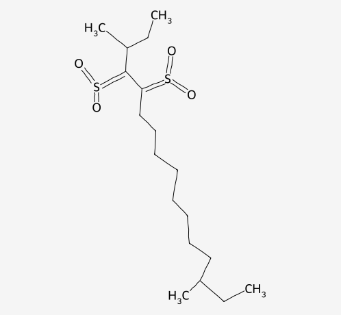 CCC(C)CCCCCCCCC(C(C(C)CC)=S(=O)=O)=S(=O)=O